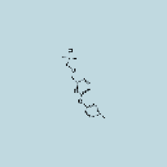 Cc1ccc(Oc2cccc(COCC(C)(C)Cl)n2)cc1